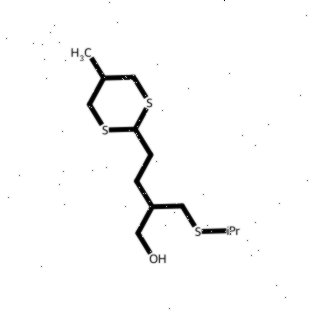 CC1CSC(CCC(CO)CSC(C)C)SC1